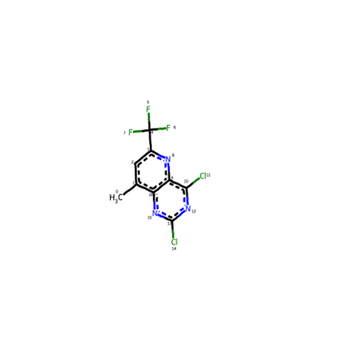 Cc1cc(C(F)(F)F)nc2c(Cl)nc(Cl)nc12